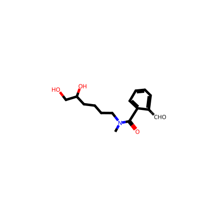 CN(CCCCC(O)CO)C(=O)c1ccccc1C=O